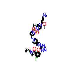 CC(C)N(C(=O)c1cc(F)ccc1Oc1nncnc1N1CC2(CCN(C[C@H]3CCN(S(=O)(=O)N4C[C@@H]5C[C@H]4CN5C(=O)/C=C/CN(C)C)C3)CC2)C1)C(C)C